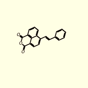 O=C1OC(=O)c2ccc(C=Cc3ccccc3)c3cccc1c23